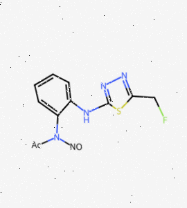 CC(=O)N(N=O)c1ccccc1Nc1nnc(CF)s1